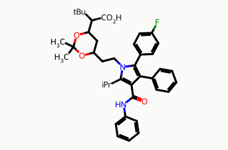 CC(C)c1c(C(=O)Nc2ccccc2)c(-c2ccccc2)c(-c2ccc(F)cc2)n1CCC1CC(C(C(=O)O)C(C)(C)C)OC(C)(C)O1